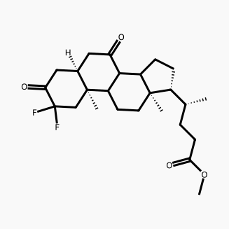 COC(=O)CC[C@@H](C)[C@H]1CCC2C3C(=O)C[C@@H]4CC(=O)C(F)(F)C[C@]4(C)C3CC[C@@]21C